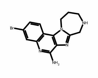 Nc1nc2cc(Br)ccc2c2c1nc1n2CCCNC1